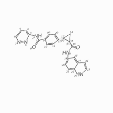 O=C(Nc1cccnn1)c1ccc([C@@H]2C[C@H]2C(=O)Nc2ccc3cnccc3c2)cc1